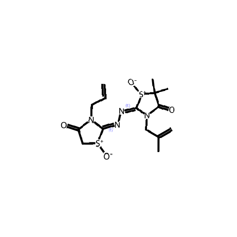 C=CCN1C(=O)C[S+]([O-])/C1=N/N=C1\N(CC(=C)C)C(=O)C(C)(C)[S+]1[O-]